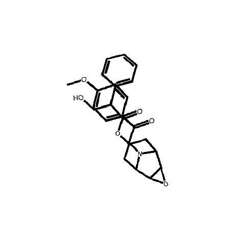 COc1ccc(C(=O)CN2C3CC(OC(=O)C(CO)c4ccccc4)CC2C2OC23)cc1